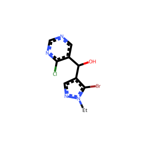 CCn1ncc(C(O)c2cncnc2Cl)c1Br